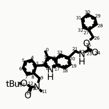 Cc1c(-c2ccccc2CN(C)C(=O)OC(C)(C)C)[nH]c2ccc(CNC(=O)OCc3ccccc3)cc12